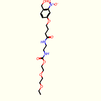 CCOCCOCCOC(=O)NCCNC(=O)CCCOc1ccc(CO)c([N+](=O)[O-])c1